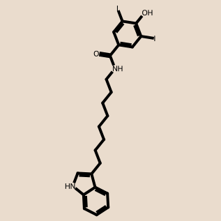 O=C(NCCCCCCCCc1c[nH]c2ccccc12)c1cc(I)c(O)c(I)c1